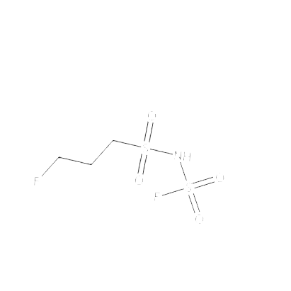 O=S(=O)(F)NS(=O)(=O)CCCF